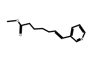 COC(=O)CCCC/C=C/c1cccnc1